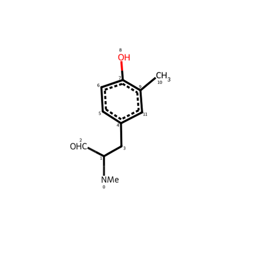 CNC(C=O)Cc1ccc(O)c(C)c1